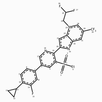 CCS(=O)(=O)c1cc(-c2ccc(C3CC3)c(F)c2)cnc1-c1cc2n(CC(F)F)cc(C(F)(F)F)cc-2n1